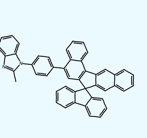 Cc1nc2ccccc2n1-c1ccc(-c2cc3c(c4ccccc24)-c2cc4ccccc4cc2C32c3ccccc3-c3ccccc32)cc1